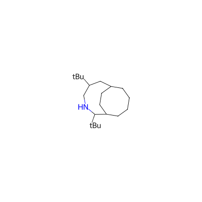 CC(C)(C)C1CNC(C(C)(C)C)C2CCCCC(CC2)C1